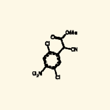 COC(=O)C(C#N)c1cc(Cl)c([N+](=O)[O-])cc1Cl